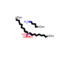 CCCCCCCCCCCCCCCCC=CP(O)(O)(O)C=CCCCCCCCCCCCCCCCC.CCCCCCCCCCCCCCN